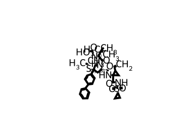 C=CC1CC1(NC(=O)[C@@H]1C[C@@](SC(C)C)(c2ccc(-c3ccccc3)cc2)CN1C(=O)[C@@H](NC(=O)O)C(C)(C)C)C(=O)NS(=O)(=O)C1CC1